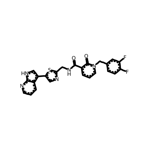 O=C(NCc1ncc(-c2c[nH]c3ncccc23)s1)c1cccn(Cc2ccc(F)c(F)c2)c1=O